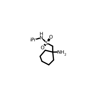 CC(C)NS(=O)(=O)CC1(N)CCCCC1